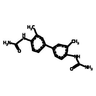 Cc1cc(-c2ccc(NC(N)=O)c(C)c2)ccc1NC(N)=O